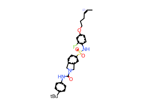 C/C=C\CCCOc1ccc(NS(=O)(=O)c2ccc3c(c2)CN(C(=O)Nc2ccc(C(C)(C)C)cc2)C3)c(F)c1